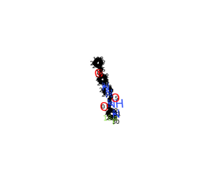 O=C(NCC(=O)N1CCN(c2ccc(OCc3ccccc3)cc2)CC1)c1ccc([18F])nc1